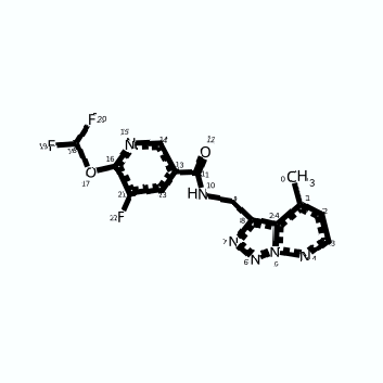 Cc1ccnn2nnc(CNC(=O)c3cnc(OC(F)F)c(F)c3)c12